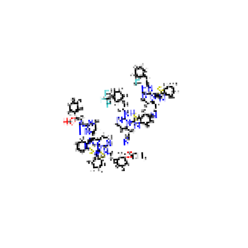 COc1cccc(CCNC2=NC=CC(C(C#N)c3ccnc(NCC(O)c4ccccc4)n3)[N+]2(c2nc3ccccc3s2)c2nc3ccccc3s2)c1.N#CCC1C=CN=C(NCCc2cccc(C(F)(F)F)c2)N1c1nc2ccccc2s1.N#CCC1C=CN=C(NCCc2ccccc2F)N1c1nc2ccccc2s1